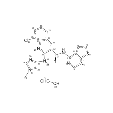 C[C@H](Nc1ncnc2sccc12)c1cc2cccc(Cl)c2nc1N(C)c1cn(C)cn1.O=CO